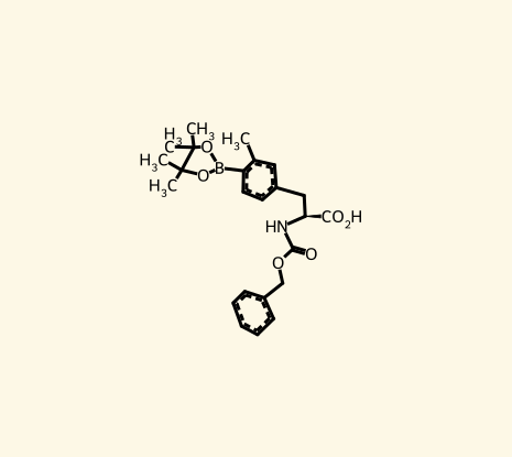 Cc1cc(C[C@H](NC(=O)OCc2ccccc2)C(=O)O)ccc1B1OC(C)(C)C(C)(C)O1